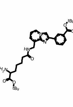 CC(C)(C)OC(=O)c1cccc(-c2cn3cccc(CNC(=O)CCCCC(N)C(=O)OC(C)(C)C)c3n2)c1